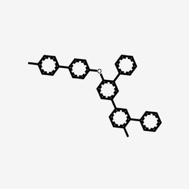 Cc1ccc(-c2ccc(Oc3ccc(-c4ccc(C)c(-c5ccccc5)c4)cc3-c3ccccc3)cc2)cc1